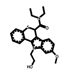 CCN(CC)C(=O)C1Sc2ccccc2-c2c1c1ccc(OC)cc1n2CCO